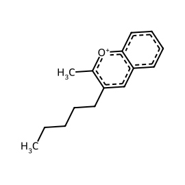 CCCCCc1cc2ccccc2[o+]c1C